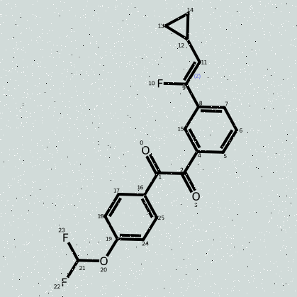 O=C(C(=O)c1cccc(/C(F)=C/C2CC2)c1)c1ccc(OC(F)F)cc1